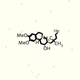 COc1cc2c(cc1OC)[C@H]1C[C@@H](O)[C@H](CC(C)(C)CC[19F])CN1CC2